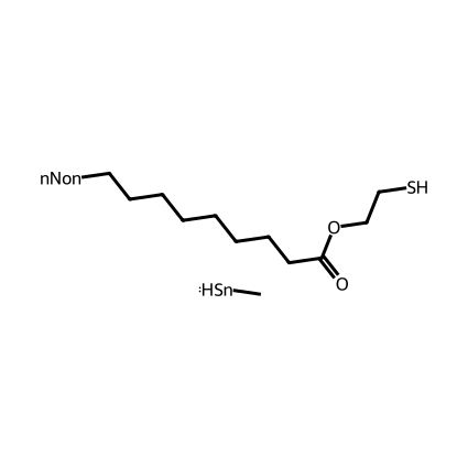 CCCCCCCCCCCCCCCCCC(=O)OCCS.[CH3][SnH]